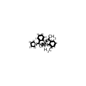 CCc1cccc(C)c1NS(=O)(=O)c1ccccc1C(O)N1CCCC1